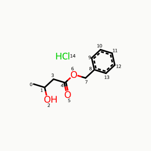 CC(O)CC(=O)OCc1ccccc1.Cl